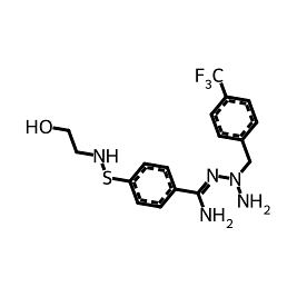 N/C(=N\N(N)Cc1ccc(C(F)(F)F)cc1)c1ccc(SNCCO)cc1